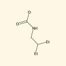 CCC(CC)CNC([O])=O